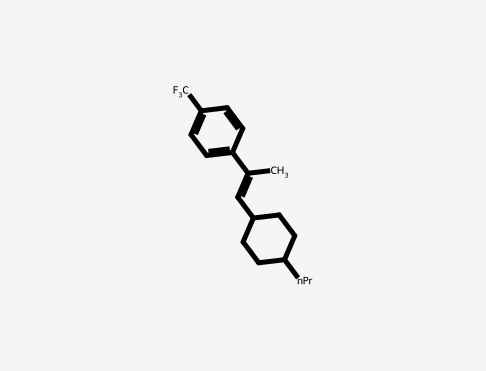 CCCC1CCC(/C=C(\C)c2ccc(C(F)(F)F)cc2)CC1